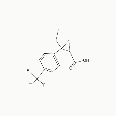 CCC1(c2ccc(C(F)(F)F)cc2)CC1C(=O)O